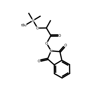 CC(O[Si](C)(C)C(C)(C)C)C(=O)ON1C(=O)c2ccccc2C1=O